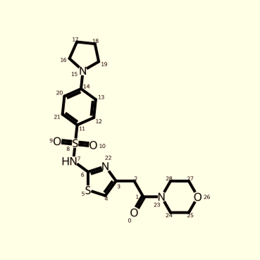 O=C(Cc1csc(NS(=O)(=O)c2ccc(N3CCCC3)cc2)n1)N1CCOCC1